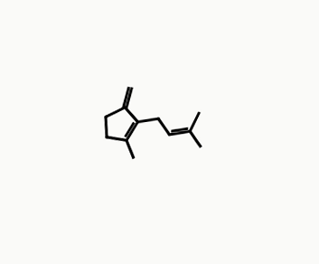 C=C1CCC(C)=C1CC=C(C)C